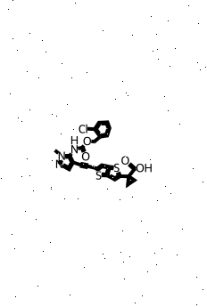 Cn1ncc(C#Cc2cc3sc(C4(C(=O)O)CC4)cc3s2)c1NC(=O)OCc1ccccc1Cl